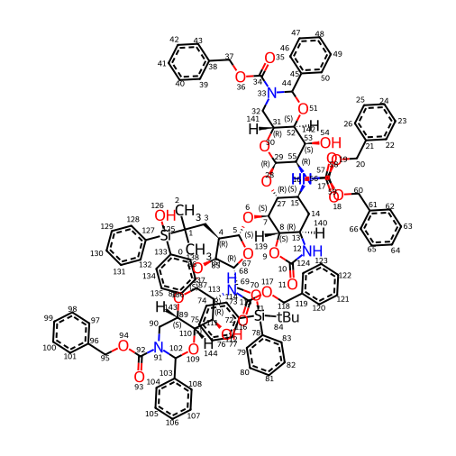 CC(C)(C[C@H]1[C@H](O[C@@H]2[C@H]3OC(=O)N[C@@H]3C[C@H](NC(=O)OCc3ccccc3)[C@H]2O[C@H]2O[C@@H]3CN(C(=O)OCc4ccccc4)C(c4ccccc4)O[C@H]3[C@@H](O)[C@H]2NC(=O)OCc2ccccc2)O[C@H](CO[Si](c2ccccc2)(c2ccccc2)C(C)(C)C)[C@H]1O[C@H]1O[C@H]2CN(C(=O)OCc3ccccc3)C(c3ccccc3)O[C@H]2[C@H](O)[C@H]1NC(=O)OCc1ccccc1)[Si](O)(c1ccccc1)c1ccccc1